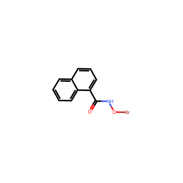 O=C(NOBr)c1cccc2ccccc12